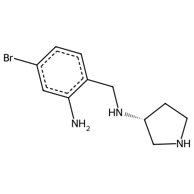 Nc1cc(Br)ccc1CN[C@@H]1CCNC1